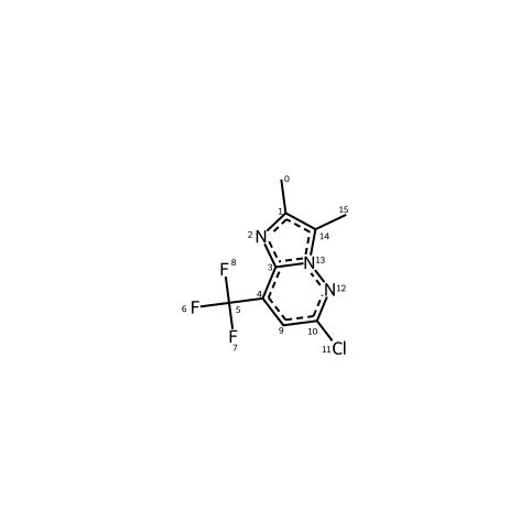 Cc1nc2c(C(F)(F)F)cc(Cl)nn2c1C